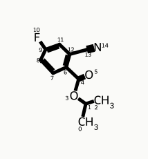 CC(C)OC(=O)c1c[c]c(F)cc1C#N